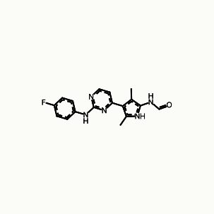 Cc1[nH]c(NC=O)c(C)c1-c1ccnc(Nc2ccc(F)cc2)n1